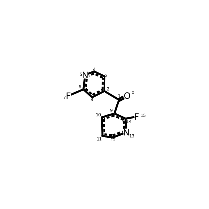 O=C(c1ccnc(F)c1)c1cccnc1F